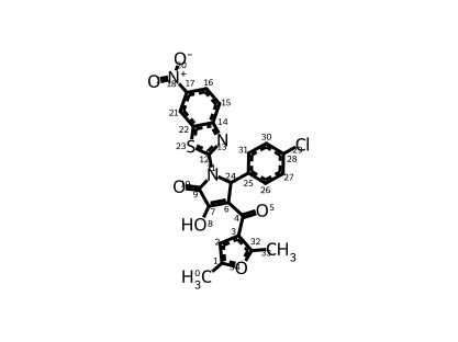 Cc1cc(C(=O)C2=C(O)C(=O)N(c3nc4ccc([N+](=O)[O-])cc4s3)C2c2ccc(Cl)cc2)c(C)o1